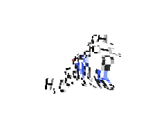 Cc1ccc(-c2ccc3c(c2)c2ccccc2n3-c2cc(C#N)c(-c3cc(-c4ccccc4)nc(-c4ccccc4)c3)cc2-n2c3ccccc3c3cc(-c4ccc(C)cc4C)ccc32)c(C)c1